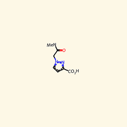 CNC(=O)Cn1ccc(C(=O)O)n1